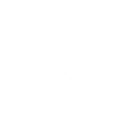 O=c1c([N+](=O)[O-])cccn1Cc1nc2cc(F)ccc2s1